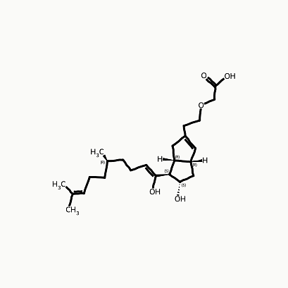 CC(C)=CCC[C@@H](C)CCC=C(O)[C@H]1[C@@H]2CC(CCOCC(=O)O)=C[C@@H]2C[C@@H]1O